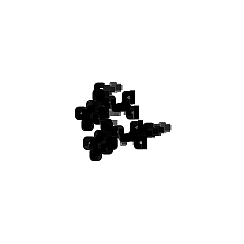 O=P([O-])([O-])OP(=O)([O-])OCC(Cl)Cl.O=P([O-])([O-])OP(=O)([O-])OCC(Cl)Cl.[Ca+2].[Ca+2].[Ca+2]